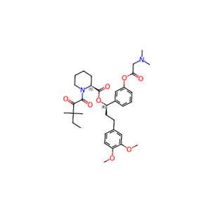 CCC(C)(C)C(=O)C(=O)N1CCCC[C@H]1C(=O)O[C@H](CCc1ccc(OC)c(OC)c1)c1cccc(OC(=O)CN(C)C)c1